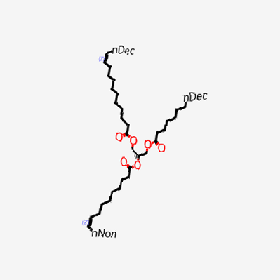 CCCCCCCCC/C=C\CCCCCCCC(=O)O[C@@H](COC(=O)CCCCCCCCC/C=C\CCCCCCCCCC)COC(=O)CCCCCCCCCCCCCCCC